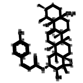 C[C@H]1[C@H](C)CC[C@]2(C(=O)O)CC[C@]3(C)C(=CC[C@@H]4[C@@]5(C)C[C@@H](OC(=O)/C=C\c6ccc(O)cc6)[C@H](O)C(C)(C)[C@@H]5CC[C@]43C)[C@H]12